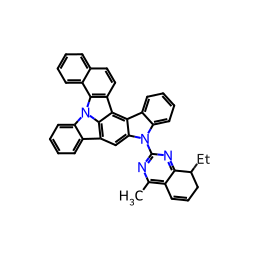 CCC1CC=Cc2c(C)nc(-n3c4ccccc4c4c5c6ccc7ccccc7c6n6c7ccccc7c(cc43)c56)nc21